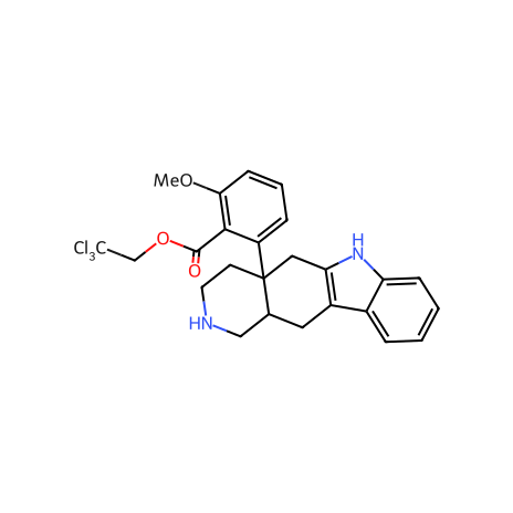 COc1cccc(C23CCNCC2Cc2c([nH]c4ccccc24)C3)c1C(=O)OCC(Cl)(Cl)Cl